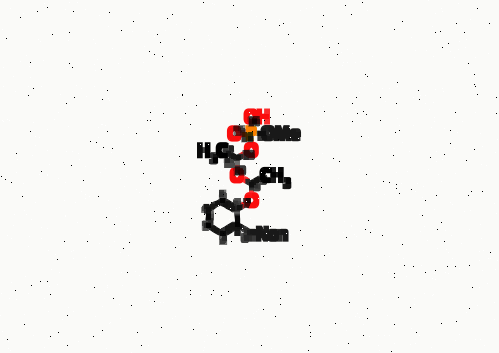 CCCCCCCCCc1ccccc1OC(C)OC(C)OP(=O)(O)OC